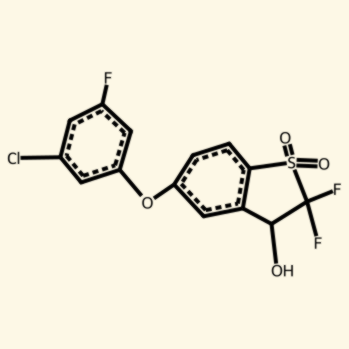 O=S1(=O)c2ccc(Oc3cc(F)cc(Cl)c3)cc2C(O)C1(F)F